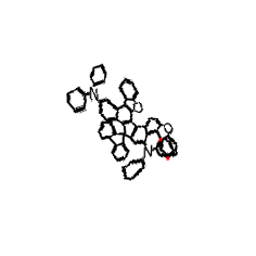 c1ccc(N(c2ccccc2)c2ccc3c4c(c5oc6ccccc6c5c3c2)-c2c(cc(N(c3ccccc3)c3ccccc3)c3c2ccc2oc5ccccc5c23)C42c3ccccc3-c3ccccc32)cc1